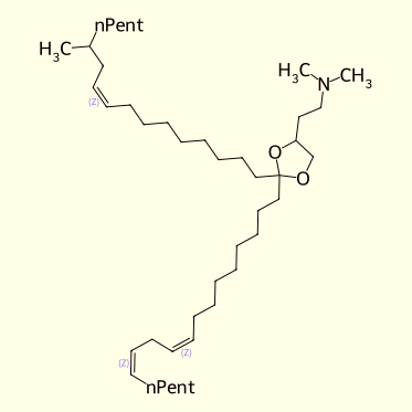 CCCCC/C=C\C/C=C\CCCCCCCCC1(CCCCCCCC/C=C\CC(C)CCCCC)OCC(CCN(C)C)O1